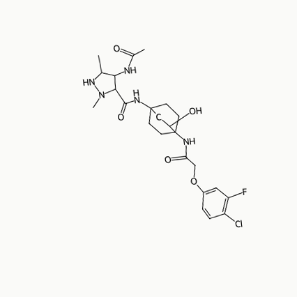 CC(=O)NC1C(C)NN(C)C1C(=O)NC12CCC(NC(=O)COc3ccc(Cl)c(F)c3)(CC1)C(O)C2